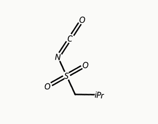 CC(C)CS(=O)(=O)N=C=O